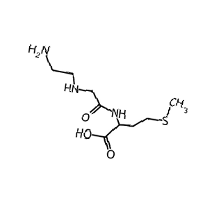 CSCCC(NC(=O)CNCCN)C(=O)O